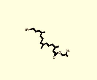 CC(C)CCCC(C)CCCC(C)CCCC(C)CC(=O)OCC(C)O